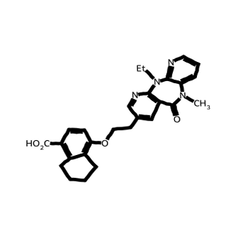 CCN1c2ncc(CCOc3ccc(C(=O)O)c4c3CCCC4)cc2C(=O)N(C)c2cccnc21